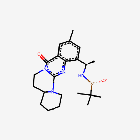 Cc1cc([C@@H](C)N[S@+]([O-])C(C)(C)C)c2nc3n(c(=O)c2c1)CCC1CCCCN31